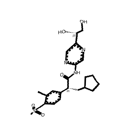 Cc1cc([C@@H](CC2CCCC2)C(=O)Nc2cnc([C@H](O)CO)cn2)ccc1S(C)(=O)=O